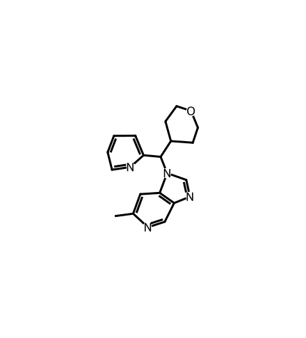 Cc1cc2c(cn1)ncn2C(c1ccccn1)C1CCOCC1